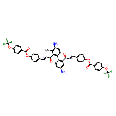 Cc1c(N)ccc(-c2ccc(N)cc2C(=O)/C=C/c2ccc(OC(=O)c3ccc(OC(F)(F)F)cc3)cc2)c1C(=O)/C=C/c1ccc(OC(=O)c2ccc(OC(F)(F)F)cc2)cc1